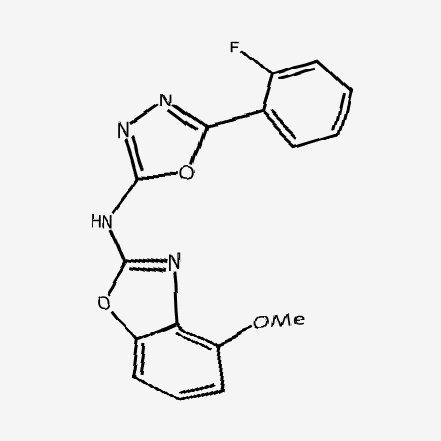 COc1cccc2oc(Nc3nnc(-c4ccccc4F)o3)nc12